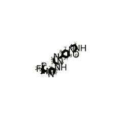 O=C1NCCN1c1ccc(-c2nccc(Nc3cnn(C4CC4(F)F)c3)n2)cc1